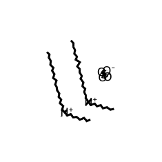 CCCCCCCCCCCCCCCCCCC[N+](C)(C)CCCCCCCC.CCCCCCCCCCCCCCCCCCC[N+](C)(C)CCCCCCCC.O=S(=O)([O-])[O-]